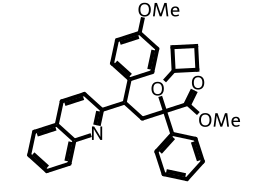 COC(=O)C(CC(c1ccc(OC)cc1)c1ccc2ccccc2n1)(OC1CCC1)c1ccccc1